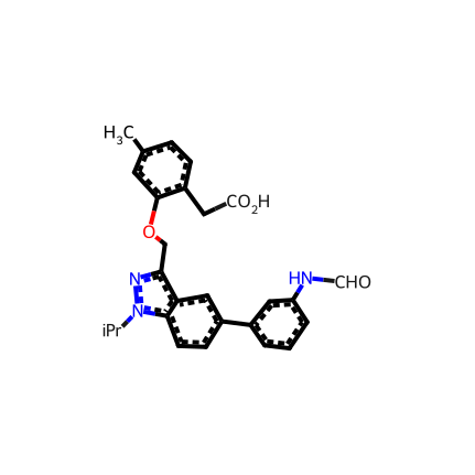 Cc1ccc(CC(=O)O)c(OCc2nn(C(C)C)c3ccc(-c4cccc(NC=O)c4)cc23)c1